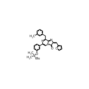 Cc1cccc(CC2=NC(c3cccc(O[Si](C)(C)C(C)(C)C)c3)=CN3C(=O)/C(=C\c4ccco4)N=C23)c1